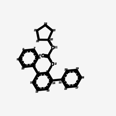 O=C(Oc1c(-c2ccccc2)cccc1-c1ccccc1)OC1CCCC1